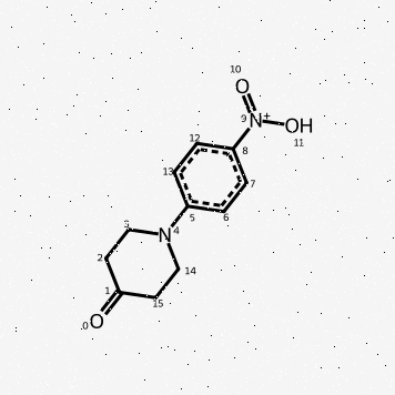 O=C1CCN(c2ccc([N+](=O)O)cc2)CC1